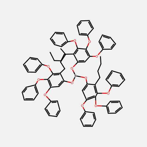 CCCCc1c(OB(Oc2cc(Oc3ccccc3)c(Oc3ccccc3)c(Oc3ccccc3)c2CCCC)Oc2cc(Oc3ccccc3)c(Oc3ccccc3)c(Oc3ccccc3)c2CCCC)cc(Oc2ccccc2)c(Oc2ccccc2)c1Oc1ccccc1